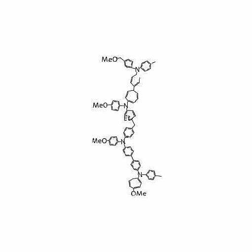 C=C(/C=C\C(=C/CC)N(C1=CC=CC(C(/C=C\CN(c2ccc(C)cc2)c2ccc(COC)cc2)=C/C)C=C1)c1ccc(OC)cc1)Cc1ccc(N(c2ccc(OC)cc2)c2ccc(-c3ccc(N(C4=CC=C(OC)C=CC4)c4ccc(C)cc4)cc3)cc2)cc1